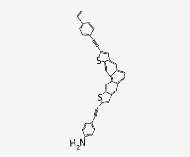 C=Cc1ccc(C#Cc2cc3cc4ccc5cc6cc(C#Cc7ccc(N)cc7)sc6cc5c4cc3s2)cc1